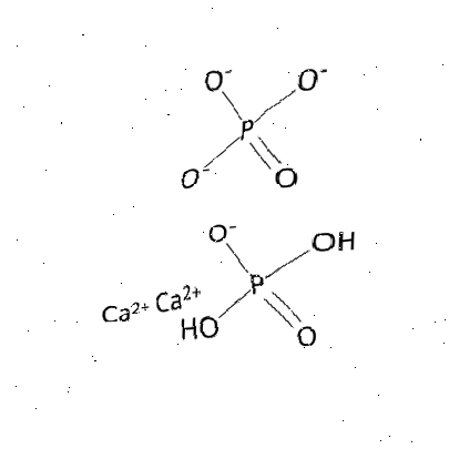 O=P([O-])(O)O.O=P([O-])([O-])[O-].[Ca+2].[Ca+2]